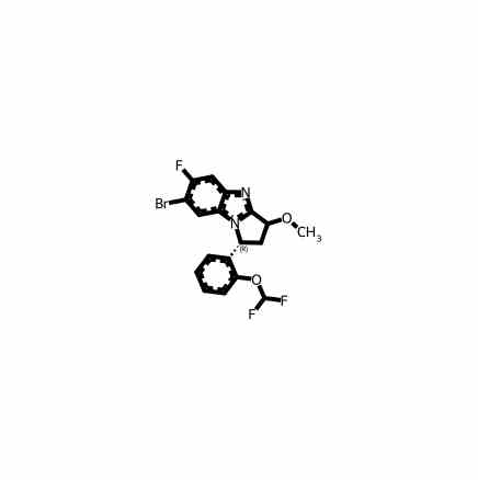 COC1C[C@H](c2ccccc2OC(F)F)n2c1nc1cc(F)c(Br)cc12